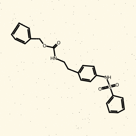 O=C(NCCc1ccc(NS(=O)(=O)c2ccccc2)cc1)OCc1ccccc1